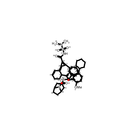 COc1ccc(C2CCCCC2)c2c1cc1n2CC2=C(C(=O)NS(=O)(=O)N(C)C)C2=C2C=CC[C@@H](C(=O)N3C4CCC3CC(NCc3ccccc3)C4)C21